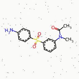 CC(=O)N(C)c1cccc(S(=O)(=O)c2ccc(N)cc2)c1